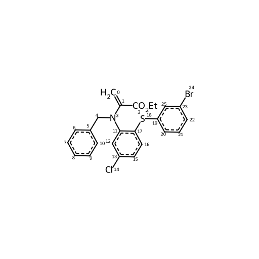 C=C(C(=O)OCC)N(Cc1ccccc1)c1cc(Cl)ccc1Sc1cccc(Br)c1